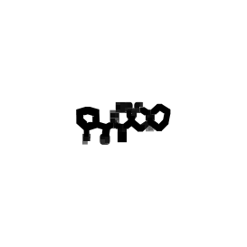 O=C(C[C@@H]1CCCCN1C(=O)O)NNC(=O)c1ccccc1F